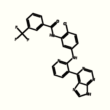 O=C(Nc1cc(Nc2ncccc2-c2ncnc3[nH]cnc23)ccc1Cl)c1cccc(C(F)(F)F)c1